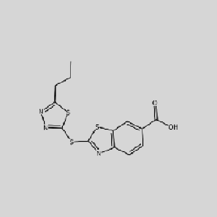 CCCc1nnc(Sc2nc3ccc(C(=O)O)cc3s2)s1